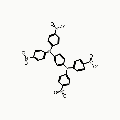 O=[N+]([O-])c1ccc(N(c2ccc(N(c3ccc([N+](=O)[O-])cc3)c3ccc([N+](=O)[O-])cc3)cc2)c2ccc([N+](=O)[O-])cc2)cc1